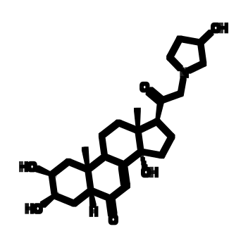 C[C@]12C[C@H](O)[C@H](O)C[C@H]1C(=O)C=C1C2CC[C@]2(C)[C@@H](C(=O)CN3CCC(O)C3)CC[C@@]12O